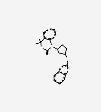 CC1(C)OC(=O)N(C2CCC(Nc3nc4ccccc4s3)C2)c2ncncc21